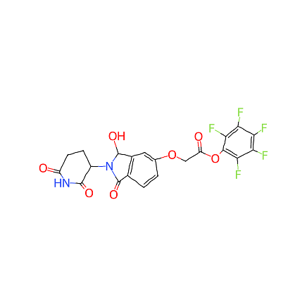 O=C1CCC(N2C(=O)c3ccc(OCC(=O)Oc4c(F)c(F)c(F)c(F)c4F)cc3C2O)C(=O)N1